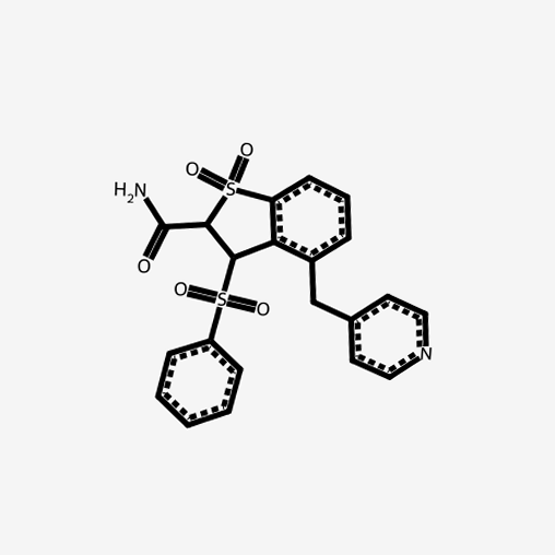 NC(=O)C1C(S(=O)(=O)c2ccccc2)c2c(Cc3ccncc3)cccc2S1(=O)=O